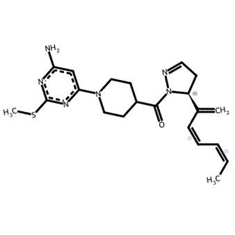 C=C(/C=C\C=C/C)[C@@H]1CC=NN1C(=O)C1CCN(c2cc(N)nc(SC)n2)CC1